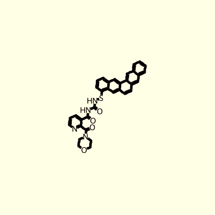 O=C(NSc1cccc2cc3c(ccc4cc5ccccc5cc43)cc12)NC(=O)c1cccnc1C(=O)N1CCOCC1